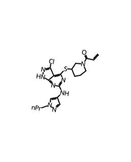 C=CC(=O)N1CCCC(Sc2nc(Nc3cnn(CCC)c3)nc3[nH]nc(Cl)c23)C1